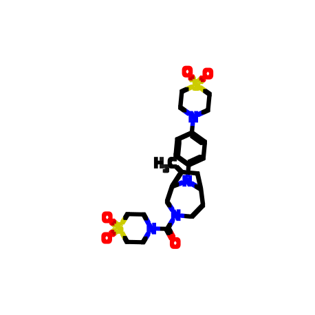 CC1CC2CCN(C(=O)N3CCS(=O)(=O)CC3)CC1N2c1ccc(N2CCS(=O)(=O)CC2)cc1